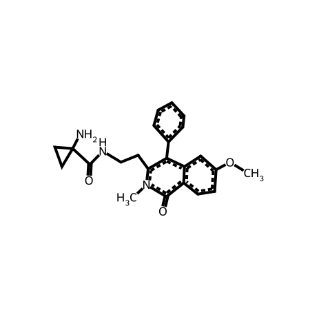 COc1ccc2c(=O)n(C)c(CCNC(=O)C3(N)CC3)c(-c3ccccc3)c2c1